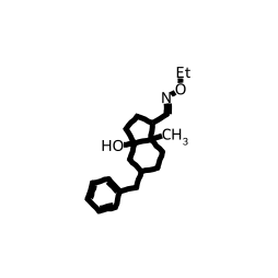 CCON=CC1CCC2(O)CC(Cc3ccccc3)CCC12C